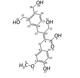 COc1cc(C/C(C(=O)O)=C(/CO)Cc2ccc(CO)c(CO)c2)ccc1O